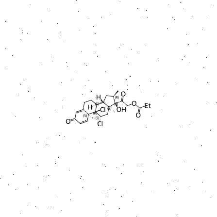 CCC(=O)OCC(=O)[C@@]1(O)[C@H](C)C[C@H]2[C@@H]3CCC4=CC(=O)C=C[C@]4(C)[C@@]3(Cl)[C@@H](Cl)C[C@@]21C